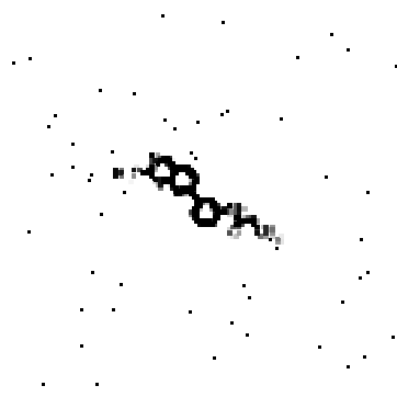 C=CC(=O)Nc1cccc(-c2ccc3cnc(C)nc3c2)c1